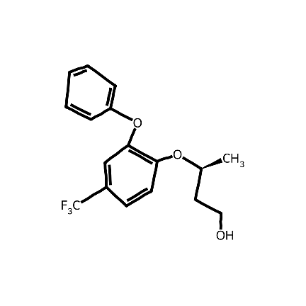 C[C@@H](CCO)Oc1ccc(C(F)(F)F)cc1Oc1ccccc1